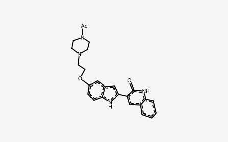 CC(=O)N1CCN(CCOc2ccc3[nH]c(-c4cc5ccccc5[nH]c4=O)cc3c2)CC1